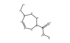 CCC1C=CCC(C(=O)OC)CC1